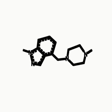 CN1CCN(Cc2cccc3c2cnn3C)CC1